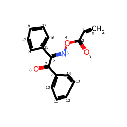 C=CC(=O)ON=C(C(=O)c1ccccc1)c1ccccc1